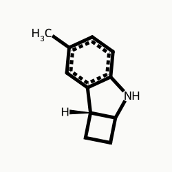 Cc1ccc2c(c1)[C@H]1CCC1N2